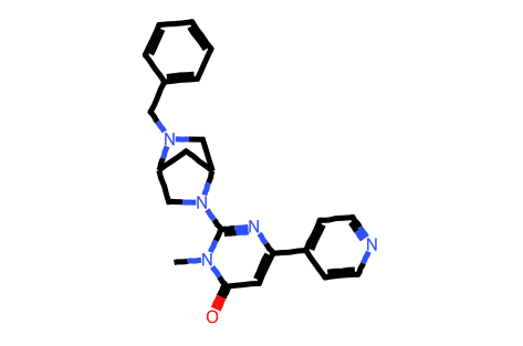 Cn1c(N2CC3CC2CN3Cc2ccccc2)nc(-c2ccncc2)cc1=O